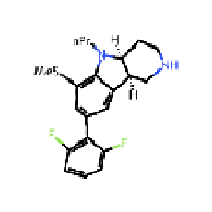 CCCN1c2c(SC)cc(-c3c(F)cccc3F)cc2[C@@H]2CNCC[C@@H]21